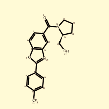 O=C(c1ccc2oc(-c3ccc(C(F)(F)F)cc3)nc2c1)N1CCC[C@H]1CO